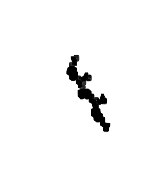 c1cc(OCC(COc2ccc3ccc(OCC4CO4)cc3c2)OCC2CO2)c2ccc(OCC(COc3ccc4ccc(OCC5CO5)cc4c3)OCC3CO3)cc2c1